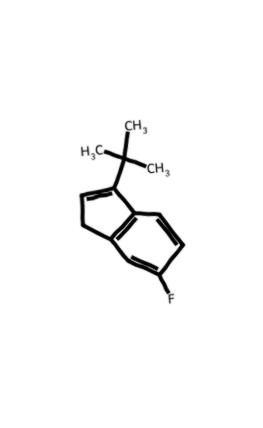 CC(C)(C)C1=CCc2cc(F)ccc21